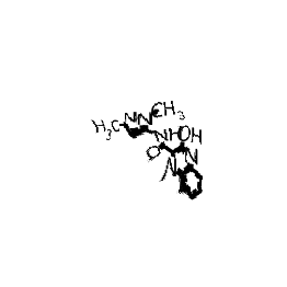 Cc1cc(NC(=O)c2nc3ccccc3nc2O)n(C)n1